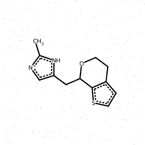 Cc1ncc(CC2OCCc3ccsc32)[nH]1